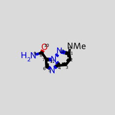 CNc1ccc2ncc(C(N)=O)n2n1